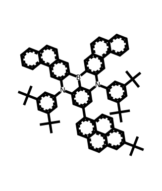 CC(C)(C)c1cc(N2c3cc4c(ccc5ccccc54)cc3B3c4cc5ccc6ccccc6c5cc4N(c4cc(C(C)(C)C)cc(C(C)(C)C)c4)c4cc(-c5ccc6ccc7cc(C(C)(C)C)cc8ccc5c6c78)cc2c43)cc(C(C)(C)C)c1